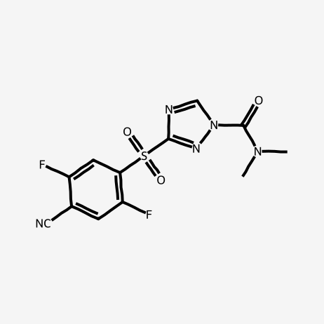 CN(C)C(=O)n1cnc(S(=O)(=O)c2cc(F)c(C#N)cc2F)n1